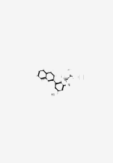 Cn1c(C(=O)O)nc2cccc(-c3ccc4ccccc4c3)c21.I